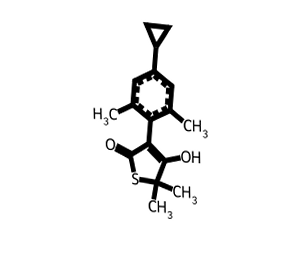 Cc1cc(C2CC2)cc(C)c1C1=C(O)C(C)(C)SC1=O